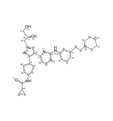 O=C(Nc1ccc(-c2nn(C[C@H](O)CO)cc2-c2ccnc(Nc3cccc(CCN4CCOCC4)c3)n2)cc1)C1CC1